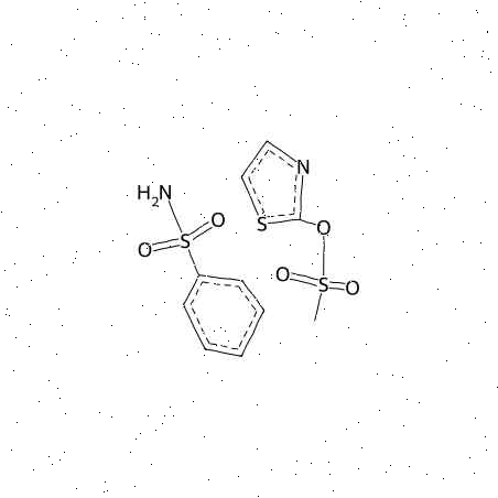 CS(=O)(=O)Oc1nccs1.NS(=O)(=O)c1ccccc1